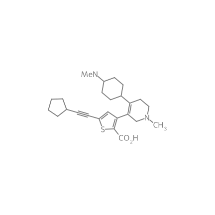 CNC1CCC(C2=C(c3cc(C#CC4CCCC4)sc3C(=O)O)CN(C)CC2)CC1